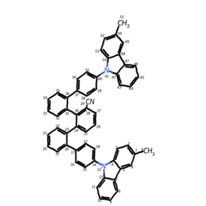 Cc1ccc2c(c1)c1ccccc1n2-c1ccc(-c2ccccc2-c2cccc(C#N)c2-c2ccccc2-c2ccc(-n3c4ccccc4c4cc(C)ccc43)cc2)cc1